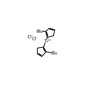 CCC(C)C1=[C]([Ti+2][C]2=C(C(C)CC)C=CC2)CC=C1.[Cl-].[Cl-]